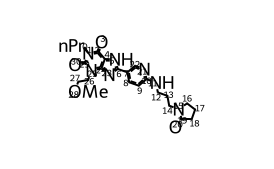 CCCn1c(=O)c2[nH]c(-c3ccc(NCCCN4CCCC4=O)nc3)nc2n(CCOC)c1=O